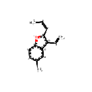 Bc1ccc2oc(/C=C\C)c(C=C)c2c1